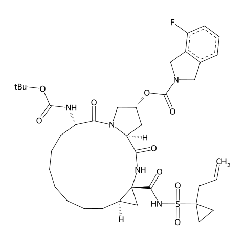 C=CCC1(S(=O)(=O)NC(=O)[C@@]23C[C@H]2CCCCCCC[C@H](NC(=O)OC(C)(C)C)C(=O)N2C[C@H](OC(=O)N4Cc5cccc(F)c5C4)C[C@H]2C(=O)N3)CC1